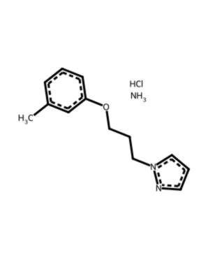 Cc1cccc(OCCCn2cccn2)c1.Cl.N